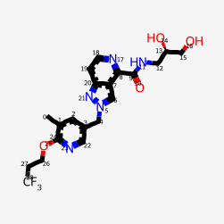 Cc1cc(Cn2cc3c(C(=O)NC[C@@H](O)CO)nccc3n2)cnc1OCCC(F)(F)F